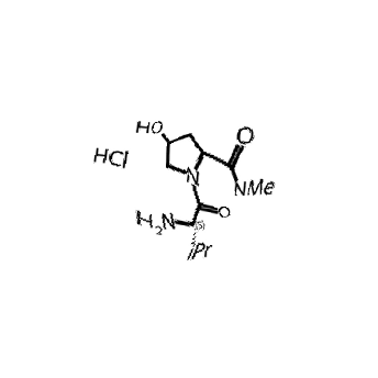 CNC(=O)C1CC(O)CN1C(=O)[C@@H](N)C(C)C.Cl